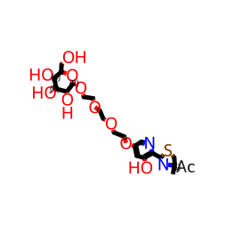 CC(=O)[C@@]1(C)CSC(c2ncc(OCCOCCOCCO[C@@H]3OC(CO)[C@@H](O)[C@@H](O)C3O)cc2O)=N1